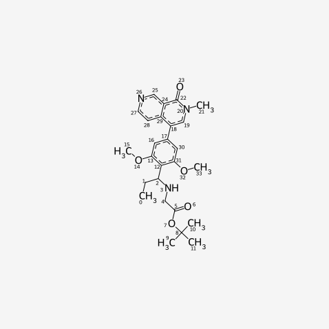 CCC(NCC(=O)OC(C)(C)C)c1c(OC)cc(-c2cn(C)c(=O)c3cnccc23)cc1OC